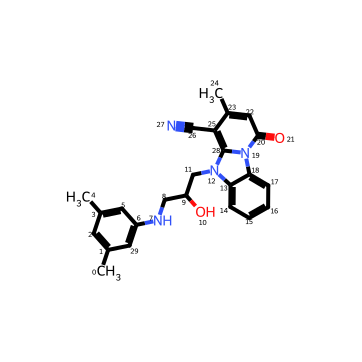 Cc1cc(C)cc(NCC(O)Cn2c3ccccc3n3c(=O)cc(C)c(C#N)c23)c1